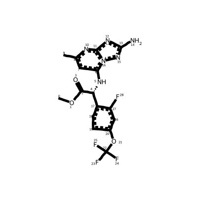 COC(=O)[C@H](Nc1cc(C)nc2nc(N)nn12)c1ccc(OC(F)(F)F)cc1F